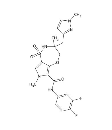 Cn1ccc(CC2(C)COc3c(cn(C)c3C(=O)Nc3ccc(F)c(F)c3)S(=O)(=O)N2)n1